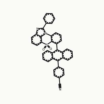 N#Cc1ccc(-c2c3ccccc3c(-c3cccc4c3S(=O)(=O)c3cccc5nc(-c6ccccc6)n-4c35)c3ccccc23)cc1